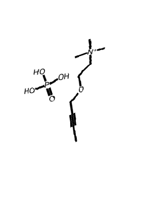 CC#CCOCC[N+](C)(C)C.O=P(O)(O)O